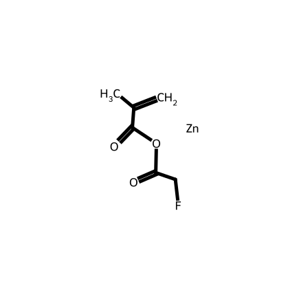 C=C(C)C(=O)OC(=O)CF.[Zn]